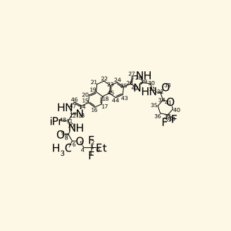 CCC(F)(F)COC(C)C(=O)NC(c1nc(-c2ccc3c(c2)CCc2cc(-c4c[nH]c(CNC(=O)C5CCC(F)(F)CO5)n4)ccc2-3)c[nH]1)C(C)C